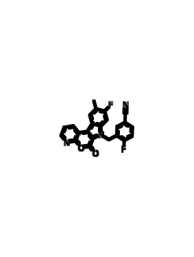 Cc1cc2c3c4cccnc4oc(=O)c3n(Cc3cc(C#N)ccc3F)c2cc1F